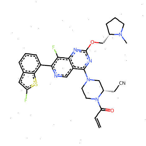 C=CC(=O)N1CCN(c2nc(OC[C@@H]3CCCN3C)nc3c(F)c(-c4cccc5cc(F)sc45)ncc23)C[C@@H]1CC#N